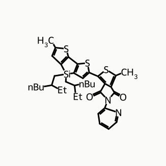 CCCCC(CC)C[Si]1(CC(CC)CCCC)c2cc(C)sc2-c2sc(-c3sc(C)c4c3C(=O)N(c3ccccn3)C4=O)cc21